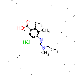 CCN(C)C=Nc1ccc(C(=O)O)c(C)c1C.Cl